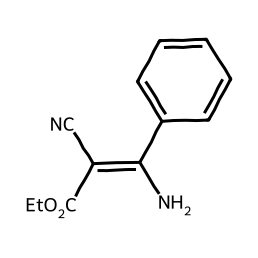 CCOC(=O)C(C#N)=C(N)c1ccccc1